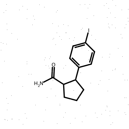 NC(=O)C1CCCC1c1ccc(I)cc1